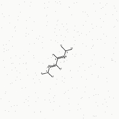 CC(=N\C(C)C)/C(C)=N/C(C)C